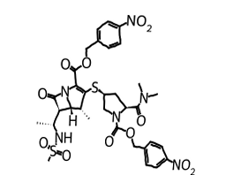 C[C@@H](NS(C)(=O)=O)[C@H]1C(=O)N2C(C(=O)OCc3ccc([N+](=O)[O-])cc3)=C(S[C@H]3C[C@@H](C(=O)N(C)C)N(C(=O)OCc4ccc([N+](=O)[O-])cc4)C3)[C@H](C)[C@H]12